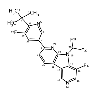 CC(C)(C)c1ncc(-c2ccc3c4cncc(F)c4n(C(F)F)c3n2)cc1F